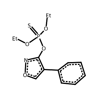 CCOP(=S)(OCC)Oc1nocc1-c1ccccc1